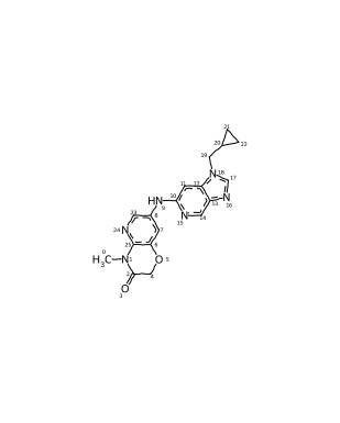 CN1C(=O)COc2cc(Nc3cc4c(cn3)ncn4CC3CC3)cnc21